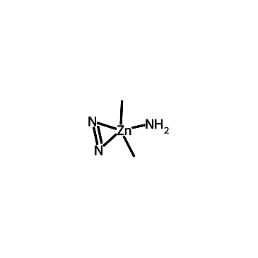 [CH3][Zn]1([CH3])([NH2])[N]=[N]1